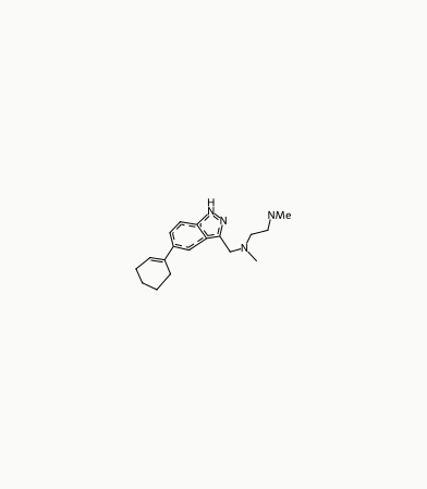 CNCCN(C)Cc1n[nH]c2ccc(C3=CCCCC3)cc12